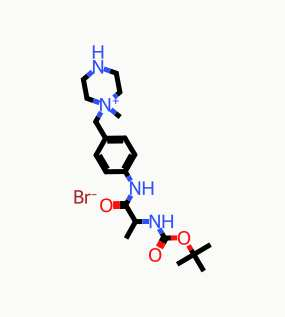 CC(NC(=O)OC(C)(C)C)C(=O)Nc1ccc(C[N+]2(C)CCNCC2)cc1.[Br-]